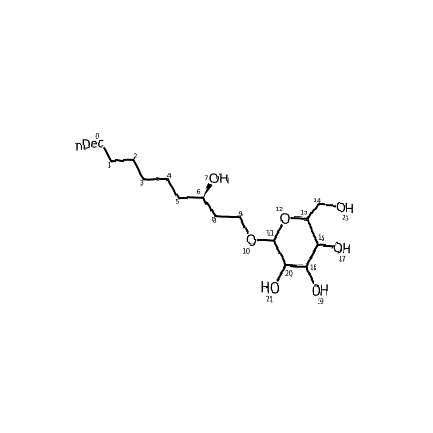 CCCCCCCCCCCCCCC[C@@H](O)CCOC1OC(CO)C(O)C(O)C1O